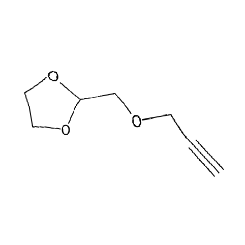 C#CCOCC1OCCO1